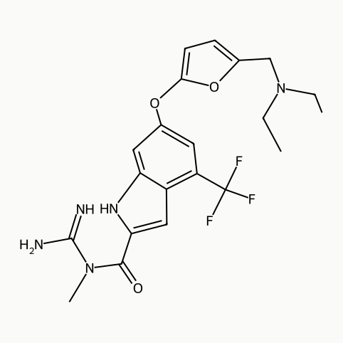 CCN(CC)Cc1ccc(Oc2cc(C(F)(F)F)c3cc(C(=O)N(C)C(=N)N)[nH]c3c2)o1